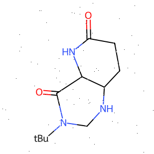 CC(C)(C)N1CNC2CCC(=O)NC2C1=O